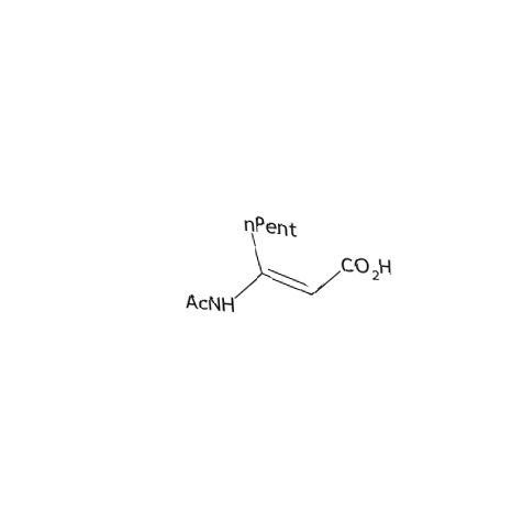 CCCCC/C(=C\C(=O)O)NC(C)=O